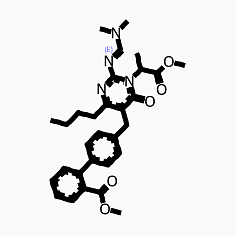 CCCCc1nc(/N=C/N(C)C)n(C(C)C(=O)OC)c(=O)c1Cc1ccc(-c2ccccc2C(=O)OC)cc1